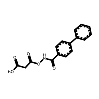 O=C(O)CC(=O)ONC(=O)c1ccc(-c2ccccc2)cc1